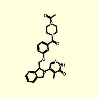 CC(=O)N1CCN(C(=O)c2cccc(OCC3c4ccccc4CN3c3cn[nH]c(=O)c3C)c2)CC1